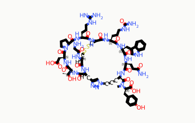 C[C@@H](O)[C@@H]1NC(=O)[C@@H]2Cc3cn(nn3)CCC[C@H](C(=O)N(C)[C@H](Cc3ccc(O)cc3)C(=O)O)NC(=O)[C@H](CCC(N)=O)NC(=O)[C@H](Cc3c[nH]c4ccccc34)NC(=O)[C@H](CCCNC(N)=O)NC(=O)C(CSSC[C@H](NC(=O)CN)C(=O)N2)NC(=O)[C@H](CCCNC(=N)N)NC(=O)C2CCCN2C(=O)[C@H](CC(=O)O)NC1=O